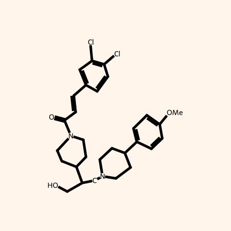 COc1ccc(C2CCN(CC(CO)C3CCN(C(=O)C=Cc4ccc(Cl)c(Cl)c4)CC3)CC2)cc1